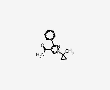 CC1(n2cc(C(N)=O)c(-c3ccccc3)n2)CC1